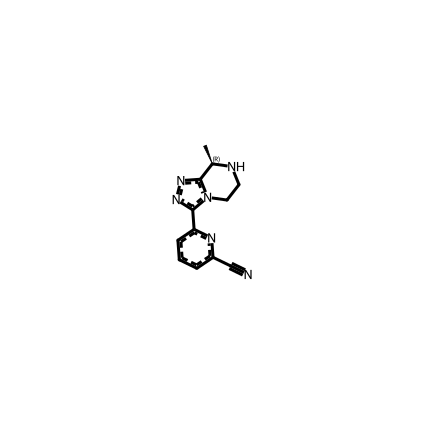 C[C@H]1NCCn2c(-c3cccc(C#N)n3)nnc21